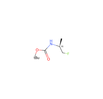 C[C@@H](CF)NC(=O)OC(C)(C)C